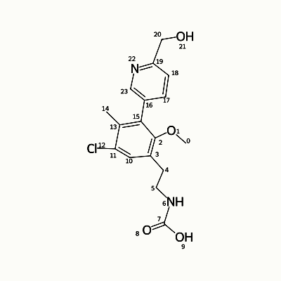 COc1c(CCNC(=O)O)cc(Cl)c(C)c1-c1ccc(CO)nc1